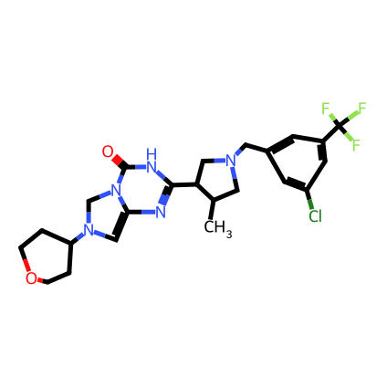 CC1CN(Cc2cc(Cl)cc(C(F)(F)F)c2)CC1C1=NC2=CN(C3CCOCC3)CN2C(=O)N1